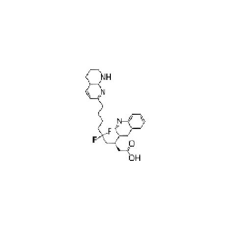 O=C(O)C[C@@H](CC(F)(F)CCCCc1ccc2c(n1)NCCC2)c1cnc2ccccc2c1